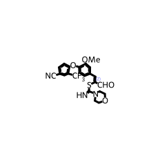 COc1cc(/C=C(/C=O)SC(=N)N2CCOCC2)ccc1Oc1ccc(C#N)cc1C(F)(F)F